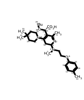 CC1=NC(N(C)CCOc2ccc(C)cc2)CC(N2CCC(C)(C)CC2)=C1[C@H](OC(C)(C)C)C(=O)O